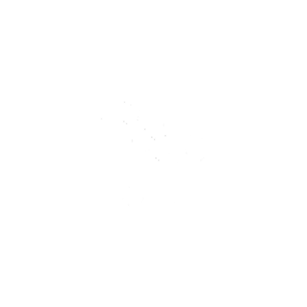 COc1ccccc1C(Cn1c(=O)n(C(C)(C)C(=O)NC(C)C)c(=O)c2c(C)c(C(=O)O)sc21)OC1CCOCC1